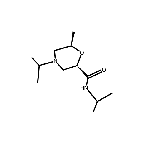 CC(C)NC(=O)[C@H]1CN(C(C)C)C[C@@H](C)O1